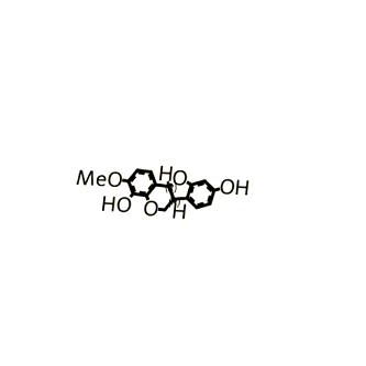 COc1ccc2c(c1O)OC[C@H]1c3ccc(O)cc3O[C@@H]21